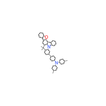 Cc1ccc(N(c2ccc(C)cc2)c2ccc(-c3ccc4c(c3)-n3c5ccccc5c5c6oc7ccccc7c6cc(c53)C4(C)C)cc2)cc1